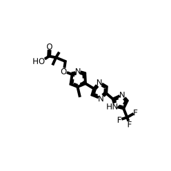 Cc1cc(OCC(C)(C)C(=O)O)ncc1-c1cnc(-c2ncc(C(F)(F)F)[nH]2)cn1